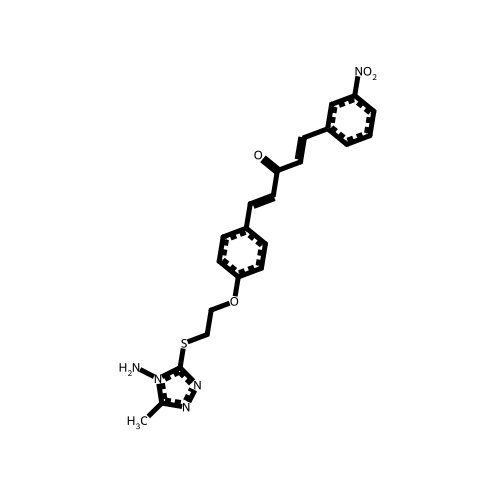 Cc1nnc(SCCOc2ccc(C=CC(=O)C=Cc3cccc([N+](=O)[O-])c3)cc2)n1N